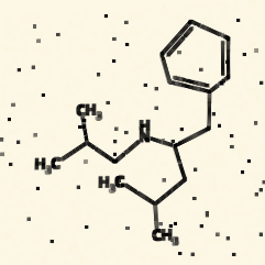 CC(C)CNC(Cc1ccccc1)CC(C)C